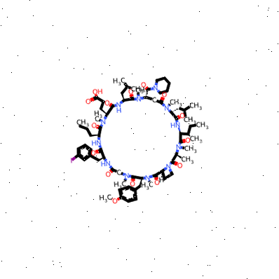 CCCC[C@@H]1NC(=O)[C@H](Cc2cccc(I)c2)NC(=O)CN(C)C(=O)[C@H](Cc2ccc(OC)cc2)N(C)C(=O)[C@@H]2CCN2C(=O)[C@H](C)N(C)C(=O)[C@H]([C@@H](C)CC)NC(=O)[C@@H](CC(C)C)N(C)C(=O)C[C@@H](C(=O)N2CCCCC2)N(C)C(=O)[C@H](CC(C)C)NC(=O)[C@H](CCC(=O)O)N(C)C1=O